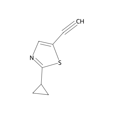 C#Cc1cnc(C2CC2)s1